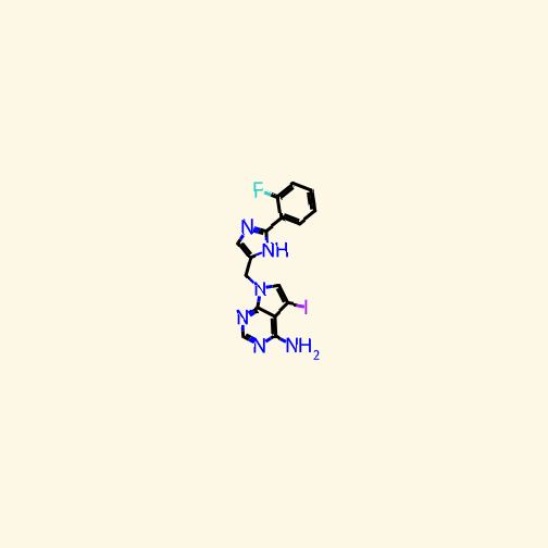 Nc1ncnc2c1c(I)cn2Cc1cnc(-c2ccccc2F)[nH]1